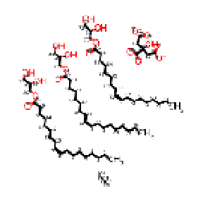 CCCCCCCC/C=C\CCCCCCCC(=O)OCC(O)CO.CCCCCCCC/C=C\CCCCCCCC(=O)OCC(O)CO.CCCCCCCC/C=C\CCCCCCCC(=O)OCC(O)CO.O=C([O-])CC(O)(CC(=O)[O-])C(=O)[O-].[K+].[K+].[K+]